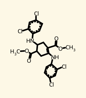 COC(=O)C1=C(Nc2ccc(Cl)cc2Cl)CC(C(=O)OC)C(Nc2ccc(Cl)cc2Cl)C1